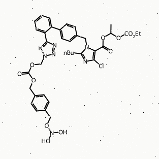 CCCCc1nc(Cl)c(C(=O)OC(C)OC(=O)OCC)n1Cc1ccc(-c2ccccc2-c2nnn(COC(=O)OCc3ccc(CON(O)O)cc3)n2)cc1